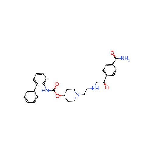 NC(=O)c1ccc(C(=O)CNCCN2CCC(OC(=O)Nc3ccccc3-c3ccccc3)CC2)cc1